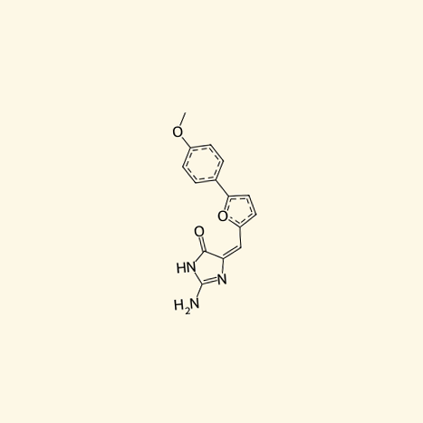 COc1ccc(-c2ccc(C=C3N=C(N)NC3=O)o2)cc1